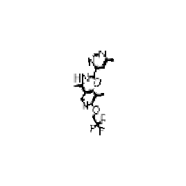 Cc1cc(C(=O)NC(C)c2cnc(OCC(F)(F)F)c(C)c2)ncn1